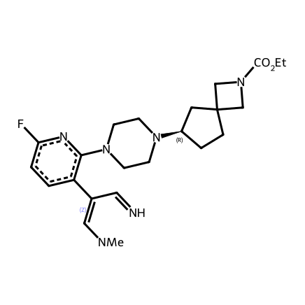 CCOC(=O)N1CC2(CC[C@@H](N3CCN(c4nc(F)ccc4/C(C=N)=C/NC)CC3)C2)C1